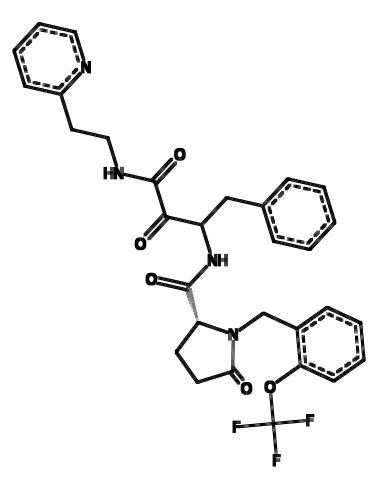 O=C(NCCc1ccccn1)C(=O)C(Cc1ccccc1)NC(=O)[C@H]1CCC(=O)N1Cc1ccccc1OC(F)(F)F